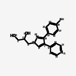 OCC(O)Cn1cc(-c2ccncc2)c(-c2ccc(F)cc2)n1